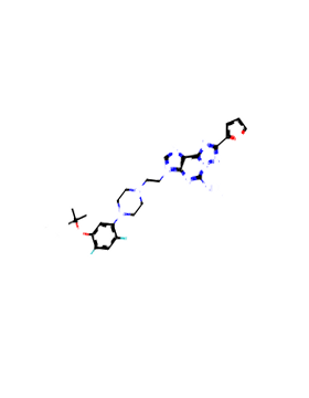 CC(C)(Oc1cc(N2CCN(CCn3cnc4c3nc(N)n3nc(-c5ccco5)nc43)CC2)c(F)cc1F)C(=O)O